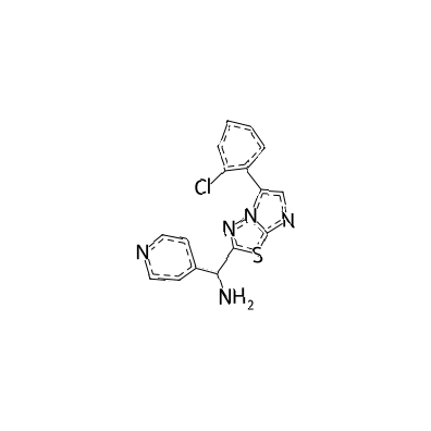 NC(c1ccncc1)c1nn2c(-c3ccccc3Cl)cnc2s1